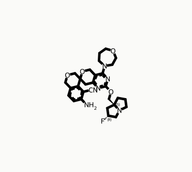 N#Cc1c(N)ccc2c1C1(COC2)Cc2nc(OC[C@@]34CCCN3C[C@H](F)C4)nc(N3CCCOCC3)c2CO1